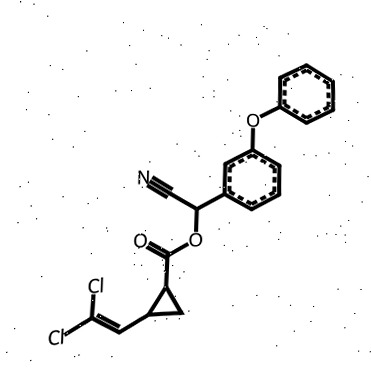 N#CC(OC(=O)C1CC1C=C(Cl)Cl)c1cccc(Oc2ccccc2)c1